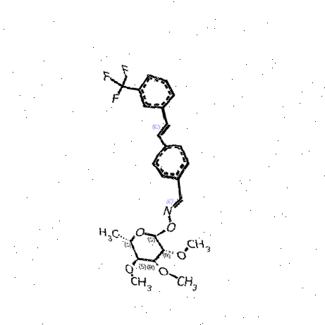 CO[C@@H]1[C@@H](OC)[C@H](C)O[C@@H](O/N=C/c2ccc(/C=C/c3cccc(C(F)(F)F)c3)cc2)[C@@H]1OC